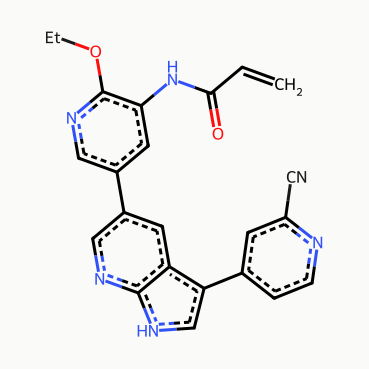 C=CC(=O)Nc1cc(-c2cnc3[nH]cc(-c4ccnc(C#N)c4)c3c2)cnc1OCC